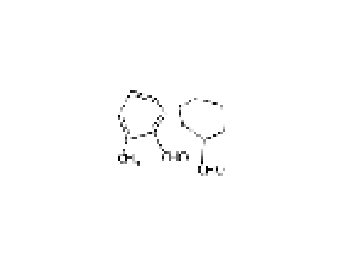 Cc1ccccc1C=O.O=CC1CCCCC1